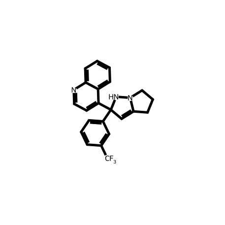 FC(F)(F)c1cccc(C2(c3ccnc4ccccc34)C=C3CCCN3N2)c1